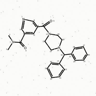 CN(C)C(=O)c1cncc(C(=O)N2CCN(C(c3ccccc3)c3ccccc3)CC2)c1